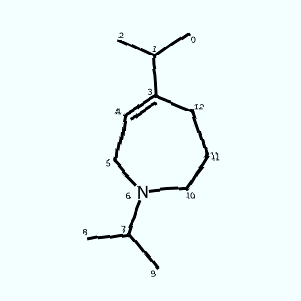 CC(C)C1=CCN(C(C)C)CCC1